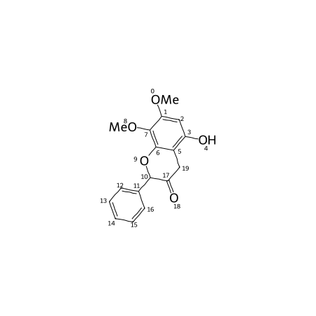 COc1cc(O)c2c(c1OC)OC(c1ccccc1)C(=O)C2